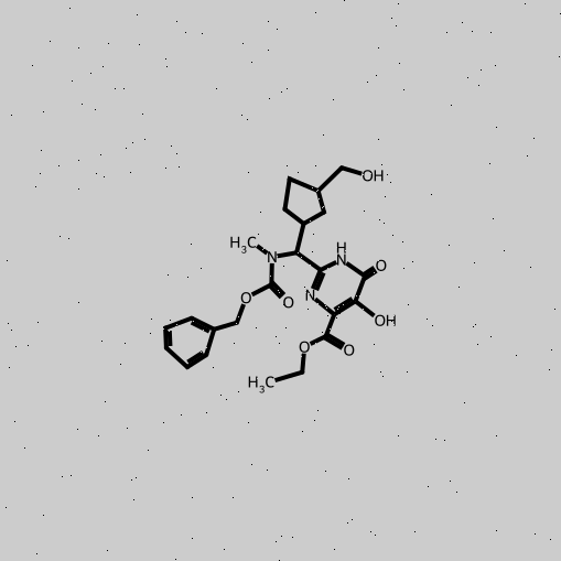 CCOC(=O)c1nc(C(C2CCC(CO)C2)N(C)C(=O)OCc2ccccc2)[nH]c(=O)c1O